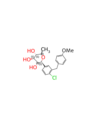 COc1ccc(Cc2cc([C@@H]3O[C@H](C)[C@@H](O)[C@H](O)[C@H]3O)ccc2Cl)cc1